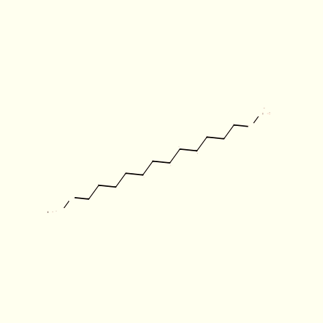 CCCCCCCSCCCCCCCCCCCCSCCCCCCC